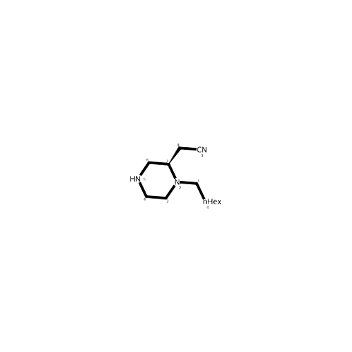 CCCCCCCN1CCNC[C@H]1CC#N